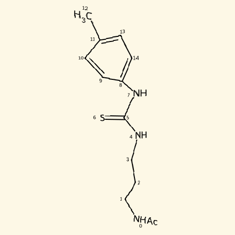 CC(=O)NCCCNC(=S)Nc1ccc(C)cc1